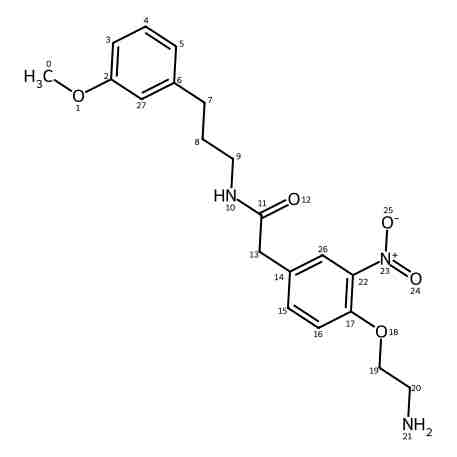 COc1cccc(CCCNC(=O)Cc2ccc(OCCN)c([N+](=O)[O-])c2)c1